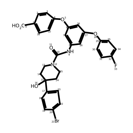 O=C(O)c1ccc(Oc2cc(NC(=O)N3CCC(O)(c4ccc(Br)cc4)CC3)cc(Oc3ccc(F)cc3)c2)cc1